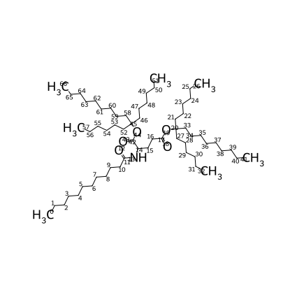 CCCCCCCCCCCC(=O)NC(CCC(=O)OC(CCCCCC)(CCCCCC)CCCCCCCCC)C(=O)OC(CCCCCC)(CCCCCC)CCCCCCCCC